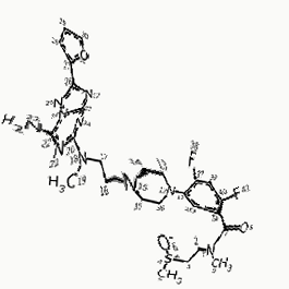 CN(CC[S+](C)[O-])C(=O)c1cc(N2CCN(CCN(C)c3nc(N)n4nc(-c5ccco5)nc4n3)CC2)c(F)cc1F